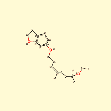 CCOC(C)(C)CCC(C)=CCCOc1ccc2c(c1)OCC2